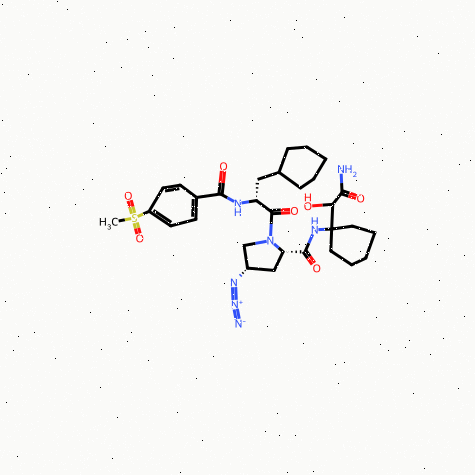 CS(=O)(=O)c1ccc(C(=O)N[C@H](CC2CCCCC2)C(=O)N2C[C@@H](N=[N+]=[N-])C[C@H]2C(=O)NC2(C(O)C(N)=O)CCCCC2)cc1